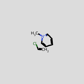 C=CCl.C[n+]1ccccc1